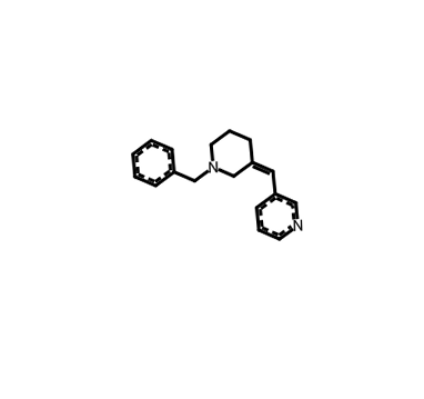 C(=C1\CCCN(Cc2ccccc2)C1)/c1cccnc1